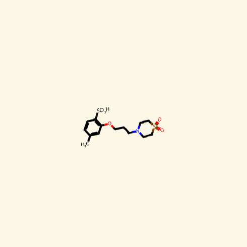 Cc1ccc(S(=O)(=O)O)c(OCCCN2CCS(=O)(=O)CC2)c1